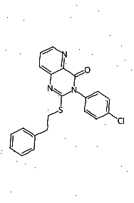 O=c1c2ncccc2nc(SCCc2ccccc2)n1-c1ccc(Cl)cc1